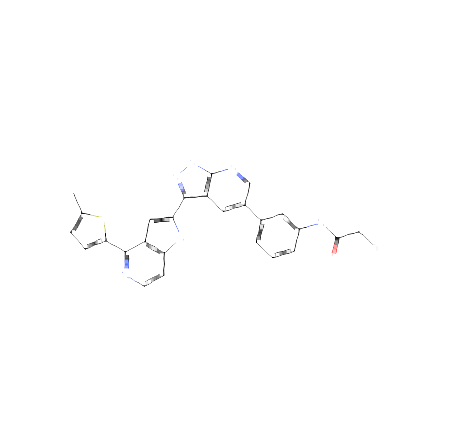 Cc1ccc(-c2nccc3[nH]c(-c4n[nH]c5ncc(-c6cccc(NC(=O)CC(C)C)c6)cc45)cc23)s1